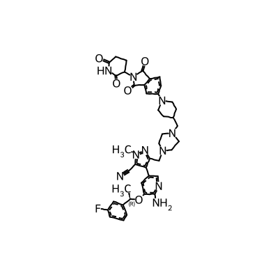 C[C@@H](Oc1cc(-c2c(CN3CCN(CC4CCN(c5ccc6c(c5)C(=O)N(C5CCC(=O)NC5=O)C6=O)CC4)CC3)nn(C)c2C#N)cnc1N)c1cccc(F)c1